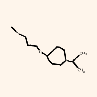 CC(C)N1CCC(OCCCOI)CC1